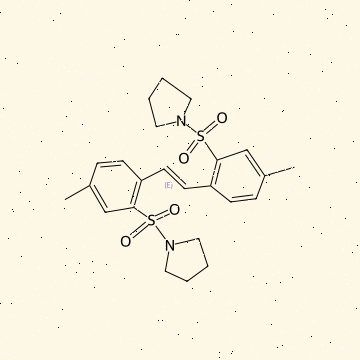 Cc1ccc(/C=C/c2ccc(C)cc2S(=O)(=O)N2CCCC2)c(S(=O)(=O)N2CCCC2)c1